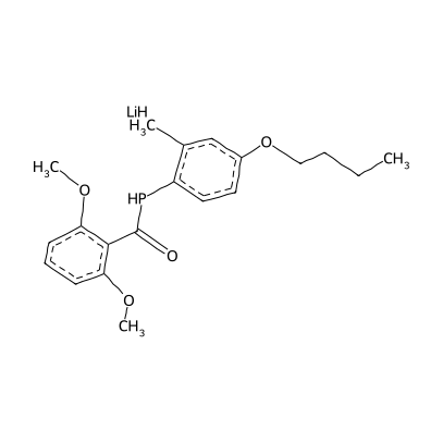 CCCCOc1ccc(PC(=O)c2c(OC)cccc2OC)c(C)c1.[LiH]